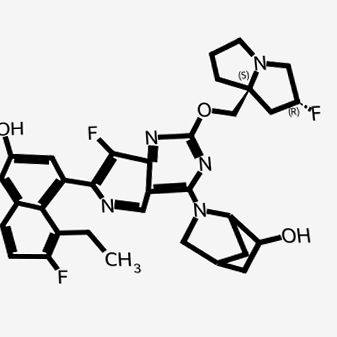 CCc1c(F)ccc2cc(O)cc(-c3ncc4c(N5CC6CC(O)C5C6)nc(OC[C@@]56CCCN5C[C@H](F)C6)nc4c3F)c12